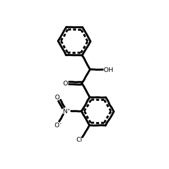 O=C(c1cccc(Cl)c1[N+](=O)[O-])C(O)c1ccccc1